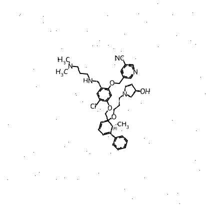 C[C@@H]1C(c2ccccc2)=CC=CC1(COc1cc(OCc2cncc(C#N)c2)c(CNCCCN(C)C)cc1Cl)OCCCN1CCC(O)C1